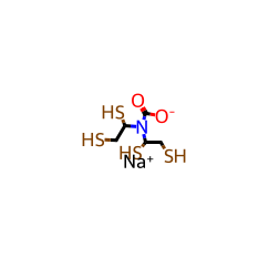 O=C([O-])N(C(S)CS)C(S)CS.[Na+]